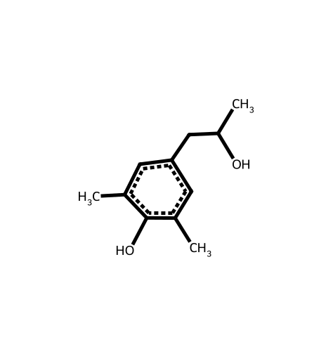 Cc1cc(CC(C)O)cc(C)c1O